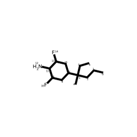 CCCC(C)(CC)C1CC(F)C(N)C(F)C1